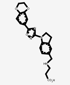 O=C(O)CCNCc1ccc2c(c1)CCN2c1noc(-c2ccc3c(c2)OCCO3)n1